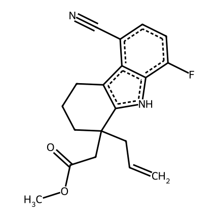 C=CCC1(CC(=O)OC)CCCc2c1[nH]c1c(F)ccc(C#N)c21